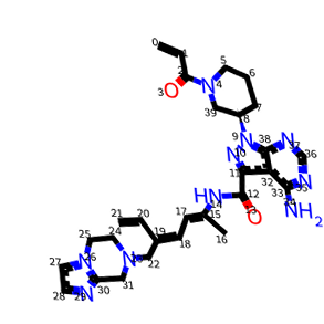 C=CC(=O)N1CCC[C@@H](n2nc(C(=O)N/C(C)=C/C=C(\C=C)CN3CCn4ccnc4C3)c3c(N)ncnc32)C1